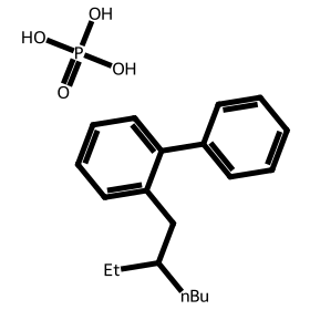 CCCCC(CC)Cc1ccccc1-c1ccccc1.O=P(O)(O)O